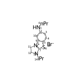 CCCNc1ccc2sc3[n+](c2c1)CCN3C(C)C.[Br-]